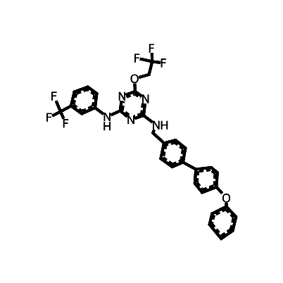 FC(F)(F)COc1nc(NCc2ccc(-c3ccc(Oc4ccccc4)cc3)cc2)nc(Nc2cccc(C(F)(F)F)c2)n1